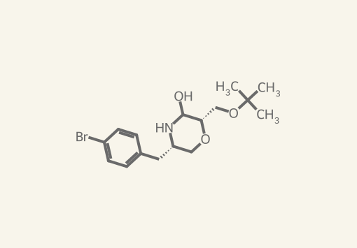 CC(C)(C)OC[C@@H]1OC[C@H](Cc2ccc(Br)cc2)NC1O